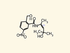 C/C(=C/C(C)(C)O)NC(=O)c1cc([N+](=O)[O-])ccc1CO